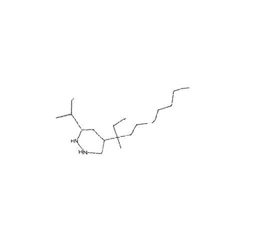 CCCCCCCC(C)(CC)C1CNNC(C(C)C)C1